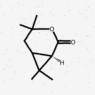 CC1(C)CC2[C@@H](C(=O)O1)C2(C)C